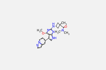 COc1nc(N[C@H]2C[C@@](C)(C(=O)N(C)C)C2)nc2[nH]cc(-c3ccn4nccc4c3)c12